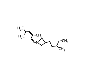 CCC(C)CCC1CN(/C=C\C(C)=C/C(C)C)C1